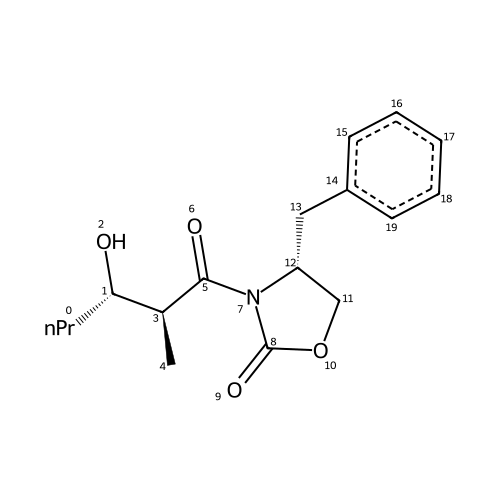 CCC[C@H](O)[C@H](C)C(=O)N1C(=O)OC[C@H]1Cc1ccccc1